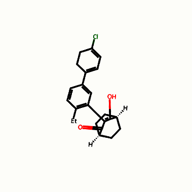 CCc1ccc(C2=CC=C(Cl)CC2)cc1C1=C(O)[C@H]2CC[C@H](CC2)C1=O